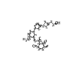 CC(Oc1cc(-c2cnn(C3CN(CCO)C3)c2)cnc1N)c1c(Cl)ccc(F)c1Cl